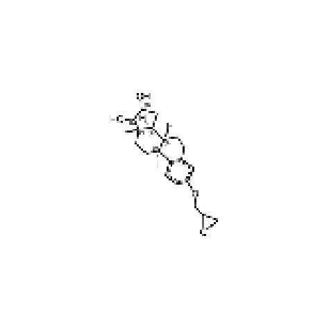 C[C@]12CC[C@@H]3c4ccc(OCC5CO5)cc4CC[C@H]3[C@@H]1C[C@@H](O)[C@@H]2O